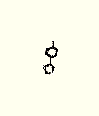 Cc1ccc(-c2cocn2)cc1